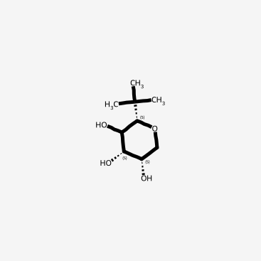 CC(C)(C)[C@@H]1OC[C@H](O)[C@H](O)C1O